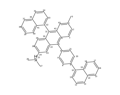 Cc1ccc2c(-c3ccc(-c4cccc5ccccc45)cc3)c3cc([SiH](C)C)ccc3c(-c3cccc4ccccc34)c2c1